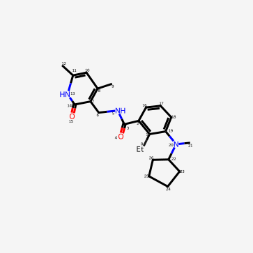 CCc1c(C(=O)NCc2c(C)cc(C)[nH]c2=O)cccc1N(C)C1CCCC1